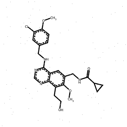 COc1ccc(CNc2ncnc3c(CCO)c(OC)c(CNC(=O)C4CC4)cc23)cc1Cl